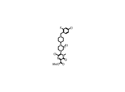 CC[C@H]1CN(c2c(Cl)nc(C(=O)OC)c(=O)n2C)CCN1C1CCN(Cc2ccc(Cl)cc2F)CC1